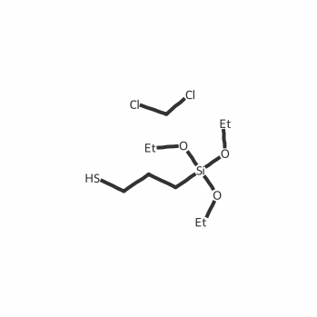 CCO[Si](CCCS)(OCC)OCC.ClCCl